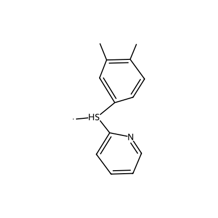 [CH2][SH](c1ccc(C)c(C)c1)c1ccccn1